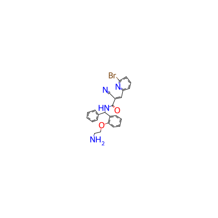 N#C/C(=C\c1cccc(Br)n1)C(=O)NC(c1ccccc1)c1ccccc1OCCN